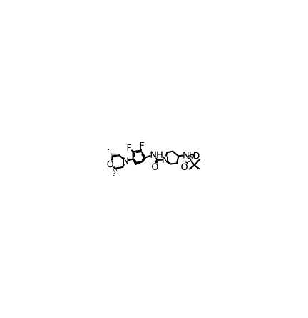 C[C@@H]1CN(c2ccc(NC(=O)N3CCC(NS(=O)(=O)C(C)(C)C)CC3)c(F)c2F)C[C@H](C)O1